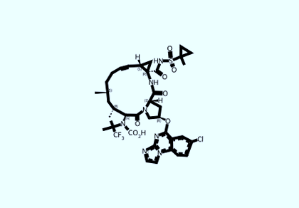 C[C@H]1CCC=C[C@@H]2C[C@@]2(C(=O)NS(=O)(=O)C2(C)CC2)NC(=O)[C@@H]2C[C@@H](Oc3nc4nccn4c4ccc(Cl)cc34)CN2C(=O)[C@@H](N(C(=O)O)C(C)(C)C(F)(F)F)[C@H](C)C1